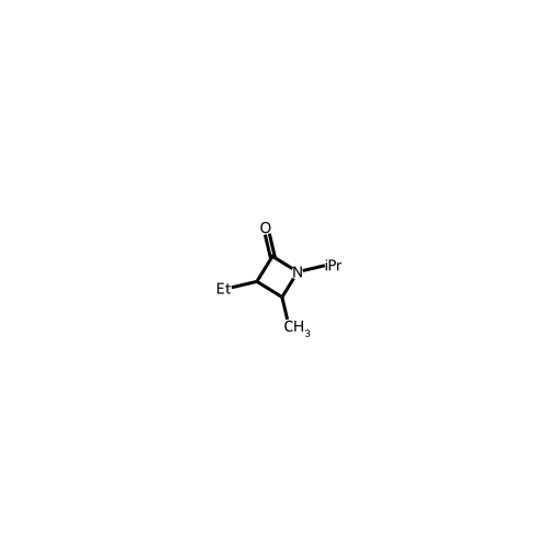 CCC1C(=O)N(C(C)C)C1C